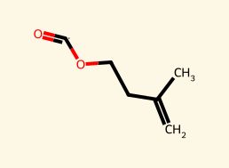 C=C(C)CCO[C]=O